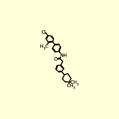 Cc1cc(Cl)ccc1-c1ccc(NC(=O)Cc2cccc(C3CCC(C)(C)CC3)c2)cc1